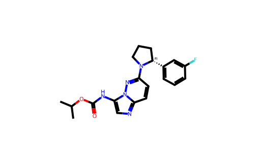 CC(C)OC(=O)Nc1cnc2ccc(N3CCC[C@@H]3c3cccc(F)c3)nn12